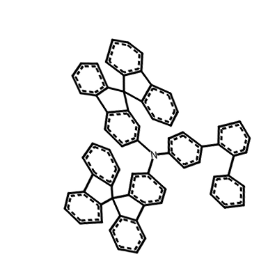 c1ccc(-c2ccccc2-c2ccc(N(c3ccc4c(c3)C3(c5ccccc5-c5ccccc53)c3ccccc3-4)c3ccc4c(c3)C3(c5ccccc5-c5ccccc53)c3ccccc3-4)cc2)cc1